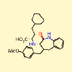 COc1ccc(CC2Cc3ccccc3NC(=O)[C@H]2N[C@@H](CCC2CCCCC2)C(=O)O)cc1